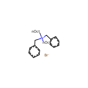 CCCCCCCC[N+](CCCCCCCC)(Cc1ccccc1)Cc1ccccc1.[Br-]